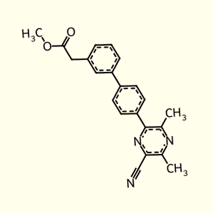 COC(=O)Cc1cccc(-c2ccc(-c3nc(C#N)c(C)nc3C)cc2)c1